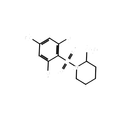 CCOC(=O)C1CCCCN1S(=O)(=O)c1c(Cl)cc(C(F)(F)F)cc1Cl